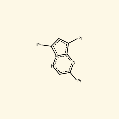 CC(C)c1cnn2c(C(C)C)cc(C(C)C)c2n1